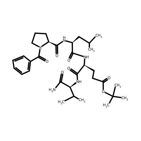 CC(C)C[C@H](NC(=O)[C@@H]1CCCN1C(=O)c1ccccc1)C(=O)N[C@@H](CCC(=O)OC(C)(C)C)C(=O)N[C@H](C(N)=O)C(C)C